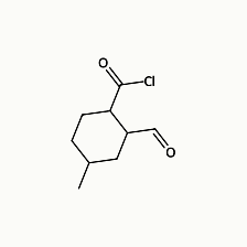 CC1CCC(C(=O)Cl)C(C=O)C1